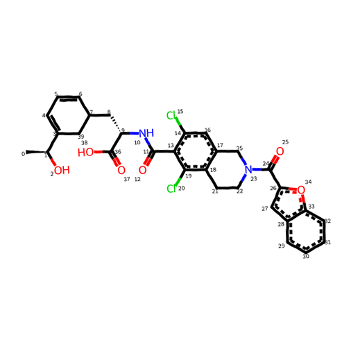 C[C@H](O)C1=CC=CC(C[C@H](NC(=O)c2c(Cl)cc3c(c2Cl)CCN(C(=O)c2cc4ccccc4o2)C3)C(=O)O)C1